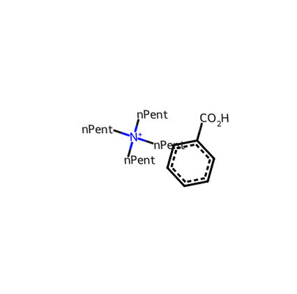 CCCCC[N+](CCCCC)(CCCCC)CCCCC.O=C(O)c1ccccc1